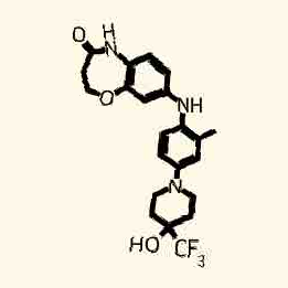 Cc1cc(N2CCC(O)(C(F)(F)F)CC2)ccc1Nc1ccc2c(c1)OCCC(=O)N2